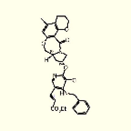 CCOC(=O)/C=C/c1cnc(O[C@H]2C[C@@H]3COc4cc(C)c5c(c4C(=O)N3C2)OCCC5)c(Cl)c1NCc1ccccc1